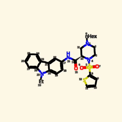 CCCCCCN1CCN(S(=O)(=O)c2cccs2)[C@H](C(=O)Nc2ccc3c(c2)c2ccccc2n3CC)C1